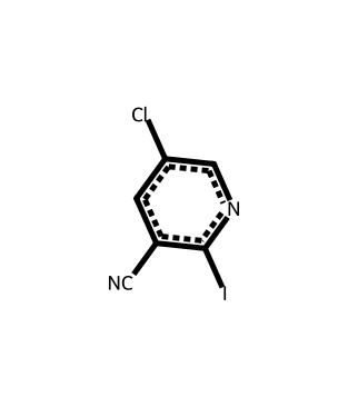 N#Cc1cc(Cl)cnc1I